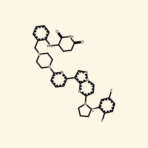 O=C1CCC(Nc2ccccc2CN2CCN(c3cccc(-c4cnn5ccc(N6CCC[C@@H]6c6cc(F)ccc6F)nc45)n3)CC2)C(=O)N1